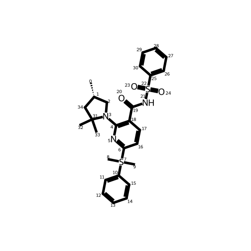 C[C@@H]1CN(c2nc(S(C)(C)c3ccccc3)ccc2C(=O)NS(=O)(=O)c2ccccc2)C(C)(C)C1